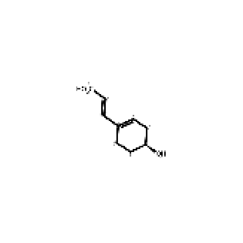 O=C(O)/C=C/C1=CC[C@@H](O)CC1